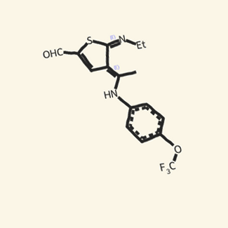 CC/N=C1/SC(C=O)=C/C1=C(/C)Nc1ccc(OC(F)(F)F)cc1